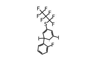 Fc1ccccc1C1(I)[CH]C(I)=CC(SC(F)(F)C(F)(F)C(F)(F)F)=C1